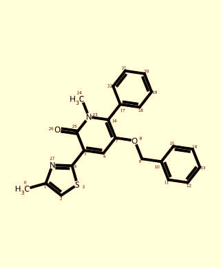 Cc1csc(-c2cc(OCc3ccccc3)c(-c3ccccc3)n(C)c2=O)n1